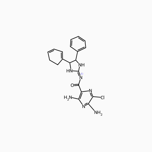 Nc1nc(N)c(C(=O)/N=C2\NC(C3=CC=CCC3)C(c3ccccc3)N2)nc1Cl